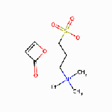 CC[N+](C)(C)CCCS(=O)(=O)[O-].O=C1C=CO1